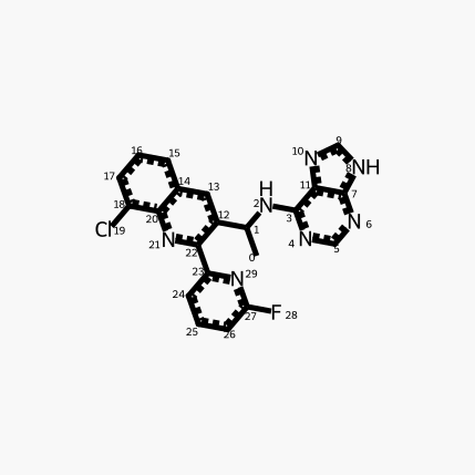 CC(Nc1ncnc2[nH]cnc12)c1cc2cccc(Cl)c2nc1-c1cccc(F)n1